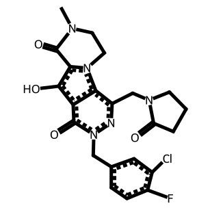 CN1CCn2c(c(O)c3c(=O)n(Cc4ccc(F)c(Cl)c4)nc(CN4CCCC4=O)c32)C1=O